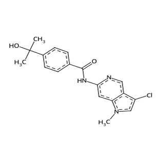 Cn1cc(Cl)c2cnc(NC(=O)c3ccc(C(C)(C)O)cc3)cc21